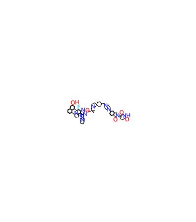 C#Cc1cccc2cc(O)cc(-c3ncc4c(N5CC6CCC(C5)N6)nc(OCC5(CN6CCC7(CCC(CN8CCN(c9ccc%10c(c9)CN([C@H]9CCC(=O)NC9=O)C%10=O)CC8)CC7)C6)CC5)nc4c3F)c12